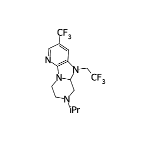 CC(C)N1CCN2c3ncc(C(F)(F)F)cc3N(CC(F)(F)F)C2C1